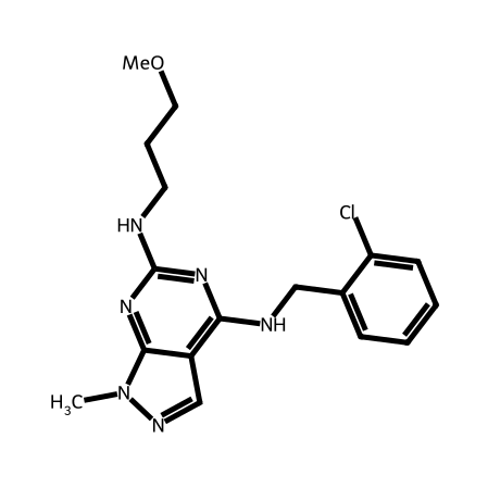 COCCCNc1nc(NCc2ccccc2Cl)c2cnn(C)c2n1